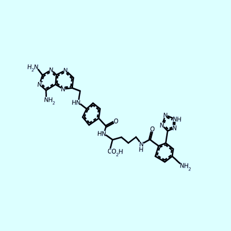 Nc1ccc(C(=O)NCCCC(NC(=O)c2ccc(NCc3cnc4nc(N)nc(N)c4n3)cc2)C(=O)O)c(-c2nn[nH]n2)c1